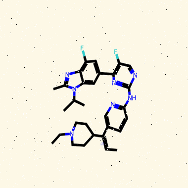 C/C=C(\c1ccc(Nc2ncc(F)c(-c3cc(F)c4nc(C)n(C(C)C)c4c3)n2)nc1)C1CCN(CC)CC1